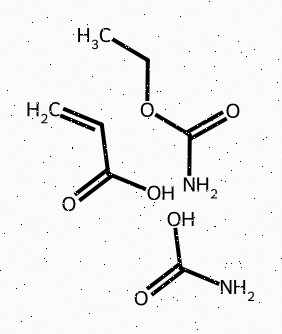 C=CC(=O)O.CCOC(N)=O.NC(=O)O